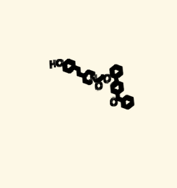 O=C(c1ccccc1)c1ccc(-c2ccccc2OCC(=O)N2CCC(CCc3ccc(O)cc3)CC2)cc1